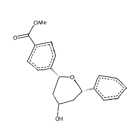 COC(=O)c1ccc([C@H]2CC(O)C[C@@H](c3ccccc3)O2)cc1